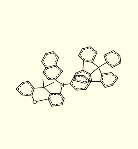 CC1(C)c2ccccc2Oc2cccc(N(c3ccc(-c4ccccc4C4(c5ccccc5)c5ccccc5-c5ccccc54)cc3)c3ccc4ccccc4c3)c21